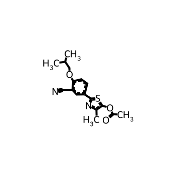 CC(=O)Oc1sc(-c2ccc(OCC(C)C)c(C#N)c2)nc1C